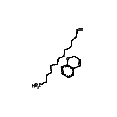 C1=Cc2ccccc2OC1.CCCCCCCCCCCCCCCCCCCCCC(=O)O